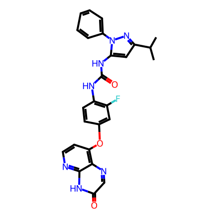 CC(C)c1cc(NC(=O)Nc2ccc(Oc3ccnc4[nH]c(=O)cnc34)cc2F)n(-c2ccccc2)n1